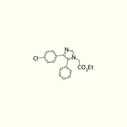 CCOC(=O)Cn1cnc(-c2ccc(Cl)cc2)c1-c1ccccc1